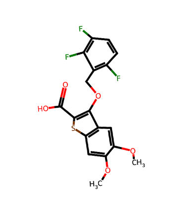 COc1cc2sc(C(=O)O)c(OCc3c(F)ccc(F)c3F)c2cc1OC